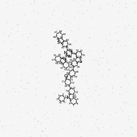 c1ccc(-n2c3ccccc3c3ccc(-c4ccc5oc6cc(-c7ccc8c(c7)sc7cccc(-c9nc(-c%10ccc%11c(c%10)sc%10ccccc%10%11)nc(-n%10c%11ccccc%11c%11ccccc%11%10)n9)c78)ccc6c5c4)cc32)cc1